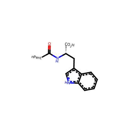 CCCCCC(=O)N[C@@H](Cc1c[nH]c2ccccc12)C(=O)O